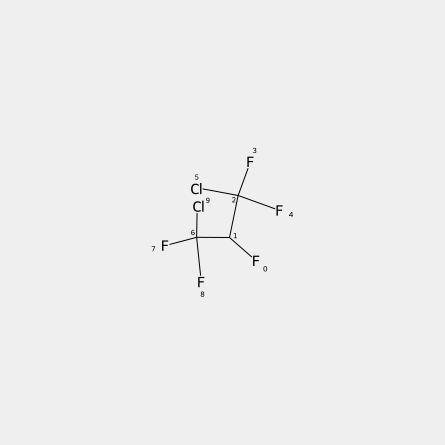 FC(C(F)(F)Cl)C(F)(F)Cl